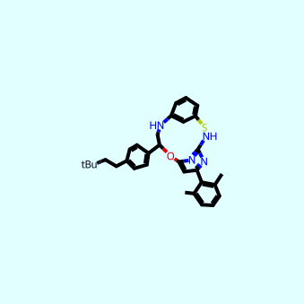 Cc1cccc(C)c1-c1cc2nc(n1)NSc1cccc(c1)NCC(c1ccc(CCC(C)(C)C)cc1)O2